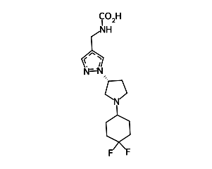 O=C(O)NCc1cnn([C@@H]2CCN(C3CCC(F)(F)CC3)C2)c1